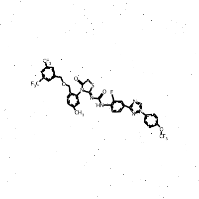 Cc1ccc(COCc2cc(C(F)(F)F)cc(C(F)(F)F)c2)c(N2C(=O)CS/C2=N\C(=O)Nc2ccc(-c3ncn(-c4ccc(OC(F)(F)F)cc4)n3)cc2F)c1